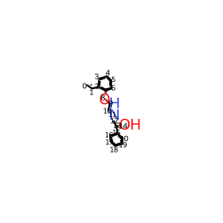 [CH2]Cc1ccccc1OCCNCC(O)c1ccccc1